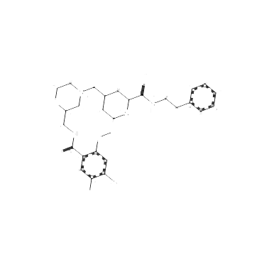 COc1cc(N)c(Cl)cc1C(=O)NCC1CN(CC2CCNC(C(=O)NCCc3ccccc3)C2)CCO1